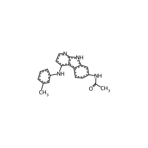 CC(=O)Nc1ccc2c(c1)[nH]c1nccc(Nc3cccc(C)c3)c12